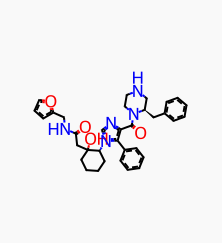 O=C(CC1(O)CCCC[C@@H]1n1cnc(C(=O)N2CCNC[C@H]2Cc2ccccc2)c1-c1ccccc1)NCc1ccco1